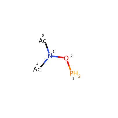 CC(=O)N(OP)C(C)=O